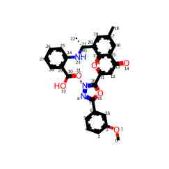 COc1cccc(-c2nnc(-c3cc(=O)c4cc(C)cc([C@@H](C)Nc5ccccc5C(=O)O)c4o3)o2)c1